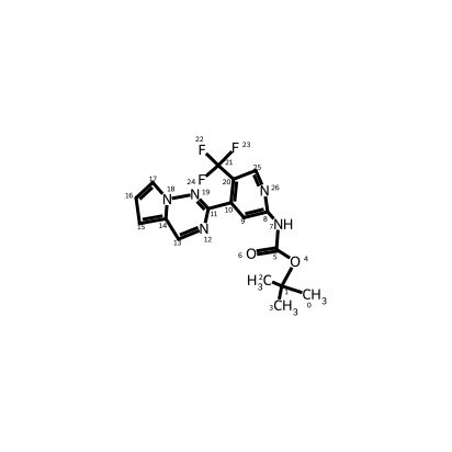 CC(C)(C)OC(=O)Nc1cc(-c2ncc3cccn3n2)c(C(F)(F)F)cn1